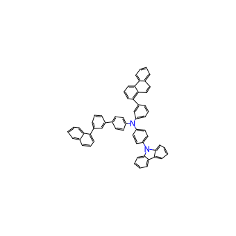 c1cc(-c2ccc(N(c3ccc(-n4c5ccccc5c5ccccc54)cc3)c3cccc(-c4cccc5c4ccc4ccccc45)c3)cc2)cc(-c2cccc3ccccc23)c1